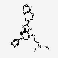 CN(C)CCOc1cc(-c2cn[nH]c2)cc2sc(C3COc4ccccc4C3)nc12